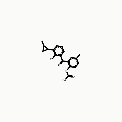 Cc1ccc(NC(=O)C(C)(C)C)c(C(=O)c2cccc(C3CC3C)c2Cl)c1